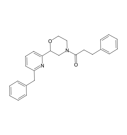 O=C(CCc1ccccc1)N1CCOC(c2cccc(Cc3ccccc3)n2)C1